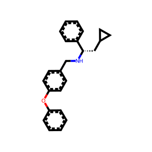 c1ccc(Oc2ccc(CN[C@@H](CC3CC3)c3ccccc3)cc2)cc1